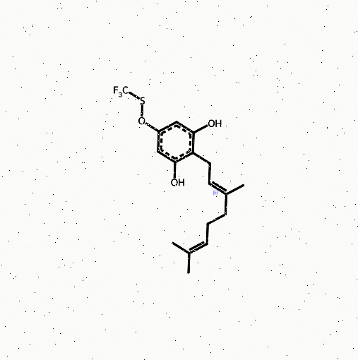 CC(C)=CCC/C(C)=C/Cc1c(O)cc(OSC(F)(F)F)cc1O